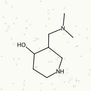 CN(C)CC1CNCCC1O